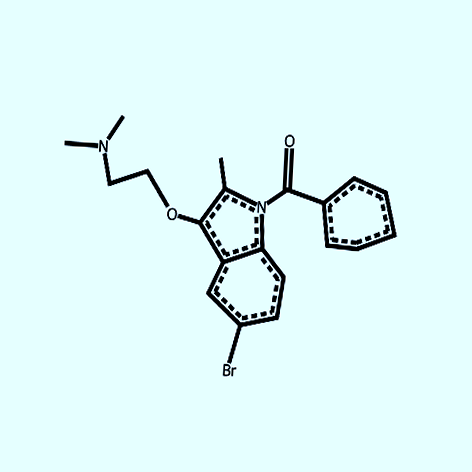 Cc1c(OCCN(C)C)c2cc(Br)ccc2n1C(=O)c1ccccc1